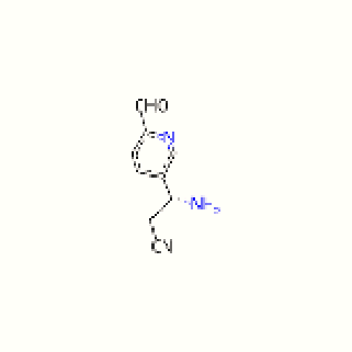 N#CC[C@@H](N)c1ccc(C=O)nc1